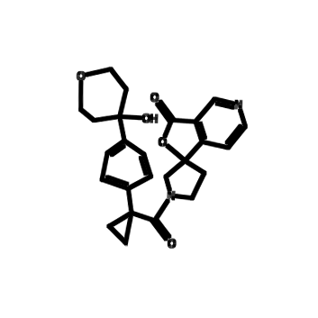 O=C1OC2(CCN(C(=O)C3(c4ccc(C5(O)CCOCC5)cc4)CC3)C2)c2ccncc21